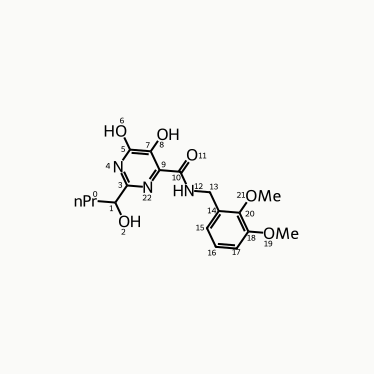 CCCC(O)c1nc(O)c(O)c(C(=O)NCc2cccc(OC)c2OC)n1